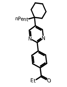 CCCCCC1(c2cnc(-c3ccc(C(=O)CC)cc3)nc2)CCCCC1